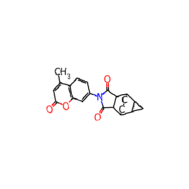 Cc1cc(=O)oc2cc(N3C(=O)C4C5CCC(C6CC65)C4C3=O)ccc12